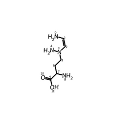 N/C=C\N(N)CCC(N)C(=O)O